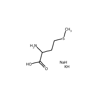 CSCCC(N)C(=O)O.[KH].[NaH]